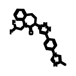 Cc1cn(-c2ccc(-c3cn(C4CCc5ccccc5N(CC(F)F)C4=O)nn3)cc2)cn1